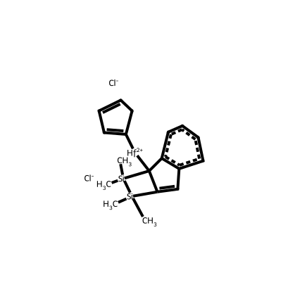 C[Si]1(C)C2=Cc3ccccc3[C]2([Hf+2][C]2=CC=CC2)[Si]1(C)C.[Cl-].[Cl-]